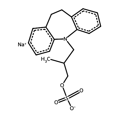 CC(COS(=O)(=O)[O-])CN1c2ccccc2CCc2ccccc21.[Na+]